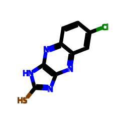 Sc1nc2nc3cc(Cl)ccc3nc2[nH]1